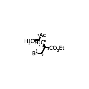 C=C(CBr)C(=O)OCC.C=CC(C)=O